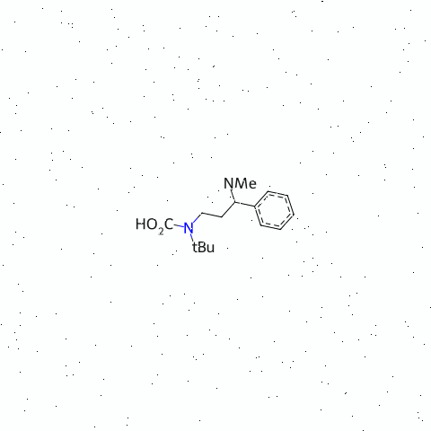 CNC(CCN(C(=O)O)C(C)(C)C)c1ccccc1